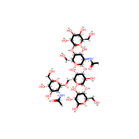 CC(=O)N[C@H]1[C@H](O[C@H]2[C@@H](O)[C@@H](CO[C@@H]3O[C@H](CO)[C@@H](O)[C@H](O)[C@H]3NC(C)=O)O[C@@H](O[C@H]3[C@H](O)[C@@H](O)C(O)O[C@@H]3CO)[C@@H]2O)O[C@H](CO)[C@@H](O[C@@H]2O[C@H](CO)[C@H](O)[C@H](O)[C@H]2O)[C@@H]1O